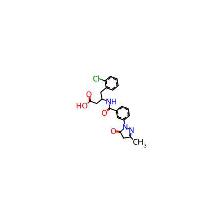 CC1=NN(c2cccc(C(=O)NC(CC(=O)O)Cc3ccccc3Cl)c2)C(=O)C1